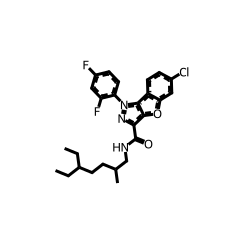 CCC(CC)CCC(C)CNC(=O)c1nn(-c2ccc(F)cc2F)c2c1oc1cc(Cl)ccc12